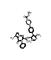 Cc1ccn2nc([C@H](C)Nc3ncnc(N)c3-c3ccc(N4CCN(C(=O)OC(C)(C)C)CC4)cc3)n(-c3ccccc3)c(=O)c12